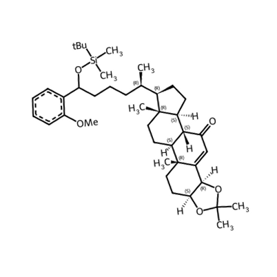 COc1ccccc1C(CCC[C@@H](C)[C@H]1CC[C@H]2[C@@H]3C(=O)C=C4[C@H]5OC(C)(C)O[C@H]5CC[C@]4(C)[C@H]3CC[C@]12C)O[Si](C)(C)C(C)(C)C